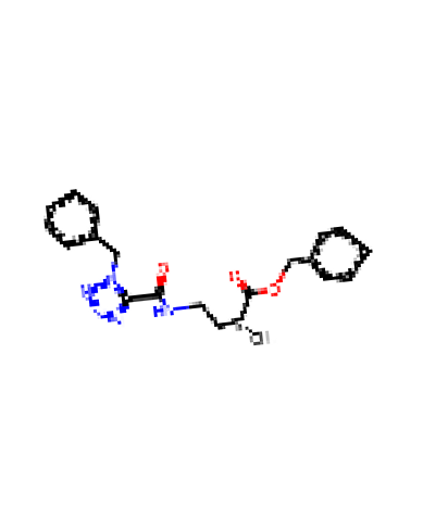 C[C@H](CCNC(=O)c1nnnn1Cc1ccccc1)C(=O)OCc1ccccc1